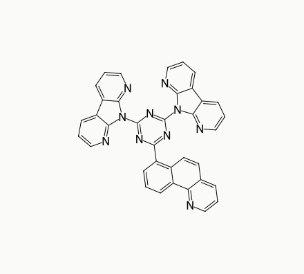 c1cnc2c(c1)ccc1c(-c3nc(-n4c5ncccc5c5cccnc54)nc(-n4c5ncccc5c5cccnc54)n3)cccc12